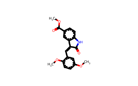 COC(=O)c1ccc2c(c1)C(=Cc1cc(OC)ccc1OC)C(=O)N2